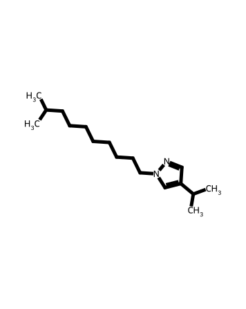 CC(C)CCCCCCCCn1cc(C(C)C)cn1